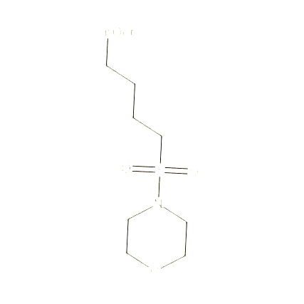 CCCCCCCCCCCCS(=O)(=O)N1CCOCC1